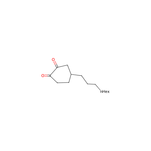 CCCCCCCCCC1CCC(=O)C(=O)C1